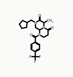 CC1C(=O)N(CC2CCCC2)CC2N(C(=O)c3ccc(C(F)(F)F)cc3)CCC(=O)N12